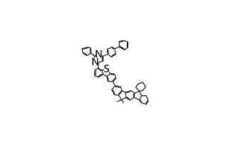 CC1(C)c2ccc(-c3ccc4sc5c(-c6cc(-c7ccc(-c8ccccc8)cc7)nc(-c7ccccc7)n6)cccc5c4c3)cc2-c2cc3c(cc21)C1=CC=CCC1C31CCCCC1